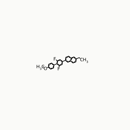 CCc1ccc2cc(-c3cc(F)c(-c4ccc(OC)cc4)c(F)c3)ccc2c1